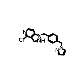 Clc1nccc2c1CNN2Cc1ccc(Cn2cccn2)cc1